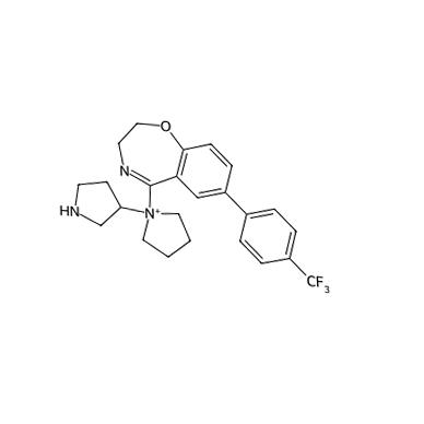 FC(F)(F)c1ccc(-c2ccc3c(c2)C([N+]2(C4CCNC4)CCCC2)=NCCO3)cc1